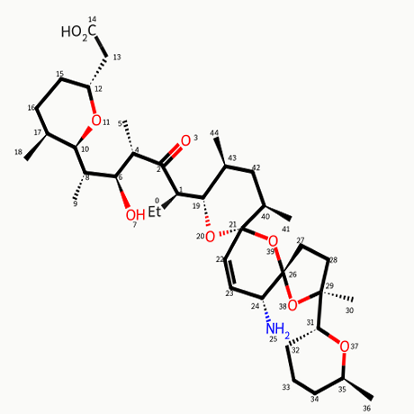 CC[C@@H](C(=O)[C@@H](C)[C@@H](O)[C@H](C)[C@@H]1O[C@@H](CC(=O)O)CC[C@@H]1C)[C@H]1O[C@]2(C=C[C@@H](N)[C@]3(CC[C@@](C)([C@H]4CCC[C@H](C)O4)O3)O2)[C@H](C)C[C@@H]1C